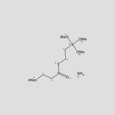 CCCCCCCCCCCC(=O)SCC[Si](OC)(OC)OC.[SiH4]